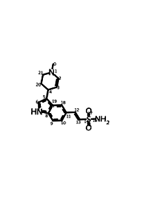 CN1C=CC(c2c[nH]c3ccc(/C=C/S(N)(=O)=O)cc23)CC1